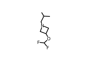 C[C](C)CN1CC(OC(F)F)C1